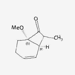 CO[C@@]12CCC=C[C@@H]1C(C)C2=O